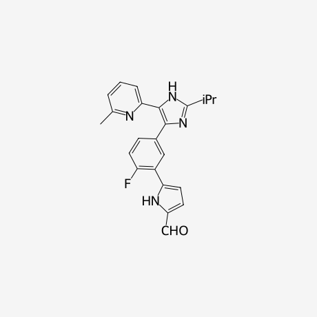 Cc1cccc(-c2[nH]c(C(C)C)nc2-c2ccc(F)c(-c3ccc(C=O)[nH]3)c2)n1